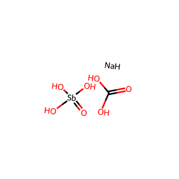 O=C(O)O.[NaH].[O]=[Sb]([OH])([OH])[OH]